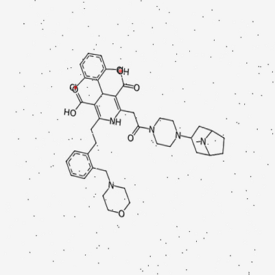 CN1C2CCC1CC(N1CCN(C(=O)CC3=C(C(=O)O)C(c4c(Cl)cccc4Cl)C(C(=O)O)=C(CCc4ccccc4CN4CCOCC4)N3)CC1)C2